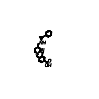 N#Cc1cc(C(=O)O)ccc1CN1CCC(CN[C@@H]2CC2c2ccccc2)CC1